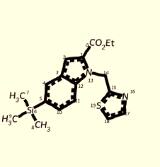 CCOC(=O)c1cc2cc([Si](C)(C)C)ccc2n1Cc1nccs1